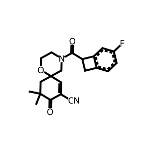 CC1(C)CC2(C=C(C#N)C1=O)CN(C(=O)C1Cc3ccc(F)cc31)CCO2